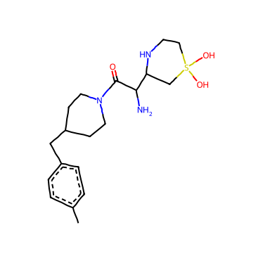 Cc1ccc(CC2CCN(C(=O)C(N)C3CS(O)(O)CCN3)CC2)cc1